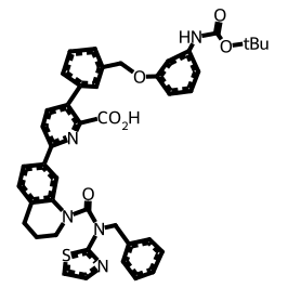 CC(C)(C)OC(=O)Nc1cccc(OCc2cccc(-c3ccc(-c4ccc5c(c4)N(C(=O)N(Cc4ccccc4)c4nccs4)CCC5)nc3C(=O)O)c2)c1